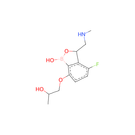 CNCC1OB(O)c2c(OCC(C)O)ccc(F)c21